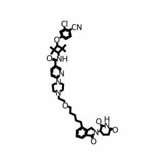 CC1(C)C(NC(=O)c2ccc(N3CCN(CCOCCCCCc4cccc5c4CN([C@@H]4CCC(=O)NC4=O)C5=O)CC3)nc2)C(C)(C)C1Oc1ccc(C#N)c(Cl)c1